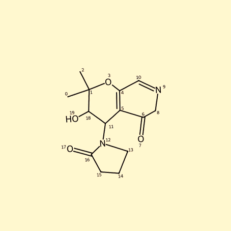 CC1(C)OC2=C(C(=O)CN=C2)C(N2CCCC2=O)C1O